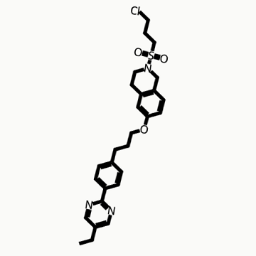 CCc1cnc(-c2ccc(CCCOc3ccc4c(c3)CCN(S(=O)(=O)CCCCl)C4)cc2)nc1